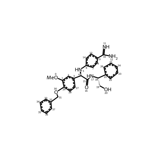 COc1cc([C@@H](Nc2ccc(C(=N)N)cc2)C(=O)N[C@@H](CO)c2ccccc2)ccc1OCc1ccccc1